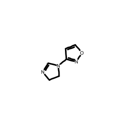 [C]1=NCCN1c1ccon1